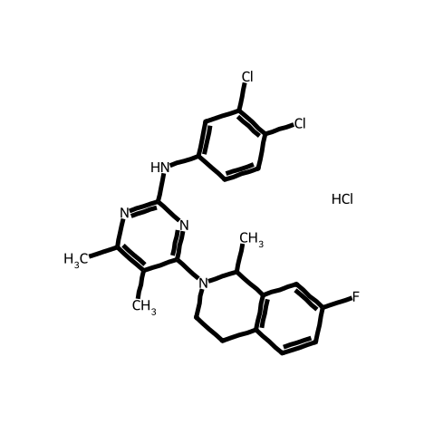 Cc1nc(Nc2ccc(Cl)c(Cl)c2)nc(N2CCc3ccc(F)cc3C2C)c1C.Cl